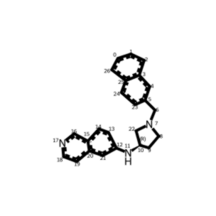 c1ccc2cc(CN3CC[C@@H](Nc4ccc5cnccc5c4)C3)ccc2c1